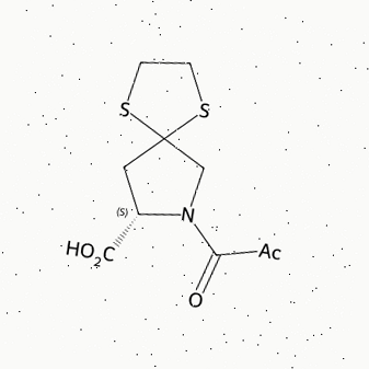 CC(=O)C(=O)N1CC2(C[C@H]1C(=O)O)SCCS2